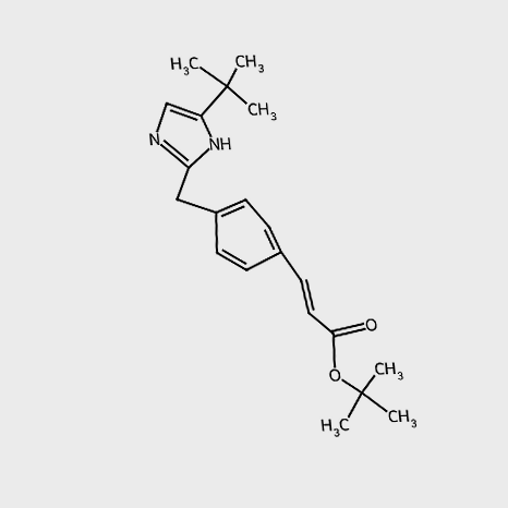 CC(C)(C)OC(=O)/C=C/c1ccc(Cc2ncc(C(C)(C)C)[nH]2)cc1